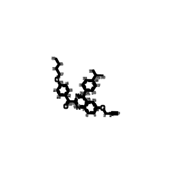 C#CCOc1ccc2nc(C(=O)c3ccc(OCCCC)cc3)nc(-c3ccc(C(C)C)cc3)c2c1